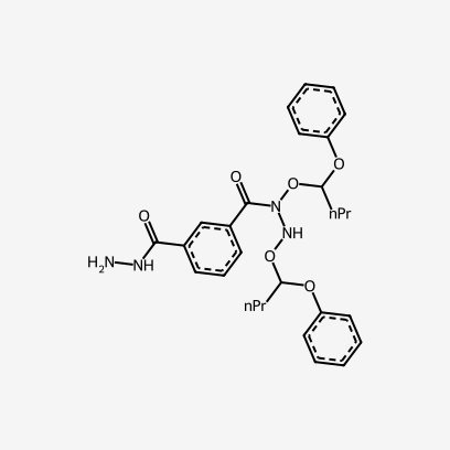 CCCC(ONN(OC(CCC)Oc1ccccc1)C(=O)c1cccc(C(=O)NN)c1)Oc1ccccc1